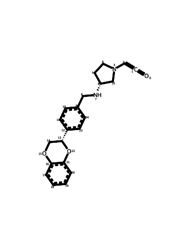 O=C=CN1CC[C@@H](NCc2ccc([C@H]3COc4ccccc4O3)cc2)C1